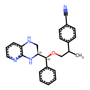 CC(CO[C@@H](c1ccccc1)[C@@H]1CNc2cccnc2N1)c1ccc(C#N)cc1